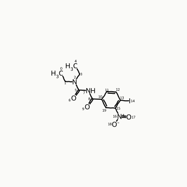 CCN(CC)C(=O)NC(=O)c1ccc(I)c([N+](=O)[O-])c1